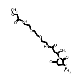 COCC(=O)NCCOCCOCCNC(=O)CC(C)N1C(=O)CC(SC)C1=O